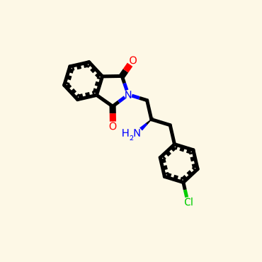 N[C@H](Cc1ccc(Cl)cc1)CN1C(=O)c2ccccc2C1=O